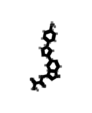 NC(=O)C(=O)Nc1c[nH]c2ccc(-c3cnn(-c4ccc(C(F)(F)F)cc4)c3)cc12